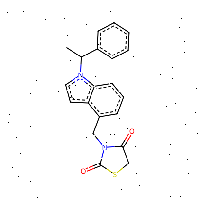 CC(c1ccccc1)n1ccc2c(CN3C(=O)CSC3=O)cccc21